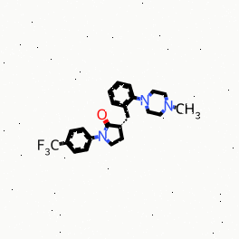 CN1CCN(c2ccccc2C[C@@H]2CCN(c3ccc(C(F)(F)F)cc3)C2=O)CC1